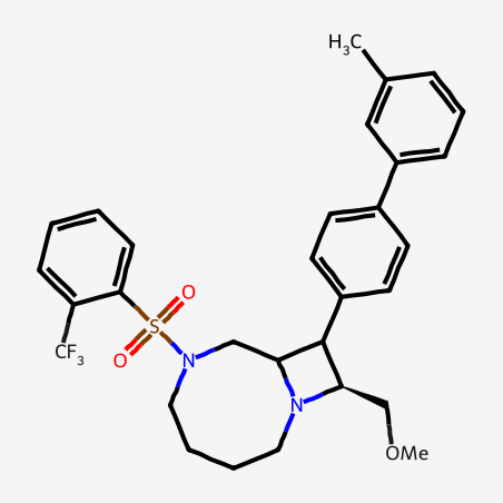 COC[C@@H]1C(c2ccc(-c3cccc(C)c3)cc2)C2CN(S(=O)(=O)c3ccccc3C(F)(F)F)CCCCN21